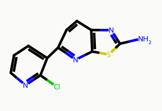 Nc1nc2ccc(-c3cccnc3Cl)nc2s1